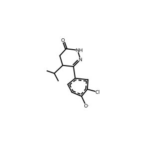 CC(C)C1CC(=O)NN=C1c1ccc([O])c(Cl)c1